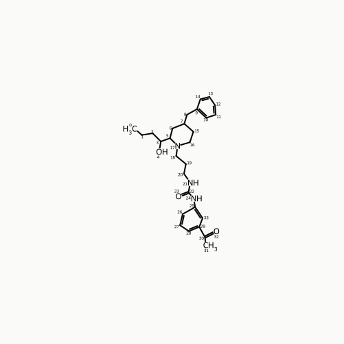 CCCC(O)C1CC(Cc2ccccc2)CCN1CCCNC(=O)Nc1cccc(C(C)=O)c1